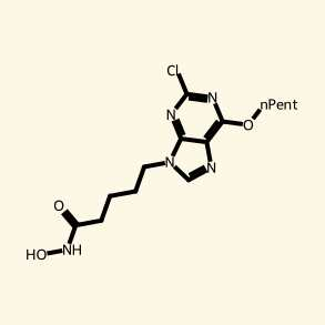 CCCCCOc1nc(Cl)nc2c1ncn2CCCCC(=O)NO